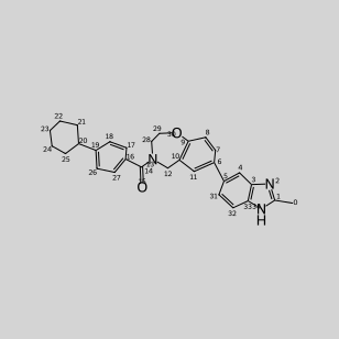 Cc1nc2cc(-c3ccc4c(c3)CN(C(=O)c3ccc(C5CCCCC5)cc3)CCO4)ccc2[nH]1